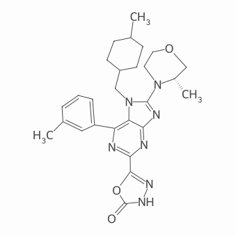 Cc1cccc(-c2nc(-c3n[nH]c(=O)o3)nc3nc(N4CCOC[C@@H]4C)n(CC4CCC(C)CC4)c23)c1